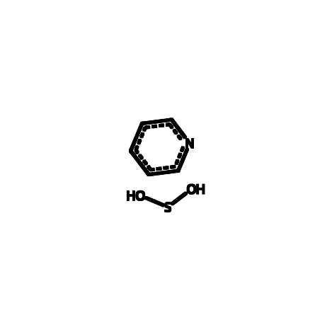 OSO.c1ccncc1